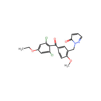 CCOc1cc(Cl)c(C(=O)c2ccc(OC)c(Cn3ncccc3=O)c2)c(Cl)c1